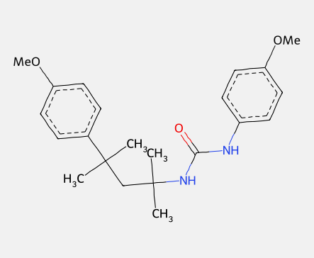 COc1ccc(NC(=O)NC(C)(C)CC(C)(C)c2ccc(OC)cc2)cc1